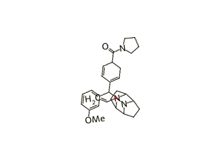 C=CCN1C2CCC1C1CCC2N1C(C1=CCC(C(=O)N2CCCC2)C=C1)c1cccc(OC)c1